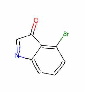 O=C1C=Nc2cccc(Br)c21